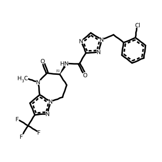 CN1C(=O)[C@@H](NC(=O)c2ncn(Cc3ccccc3Cl)n2)CCn2nc(C(F)(F)F)cc21